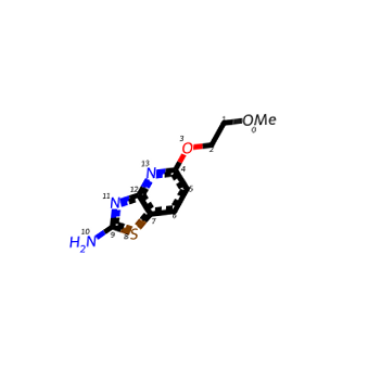 COCCOc1ccc2sc(N)nc2n1